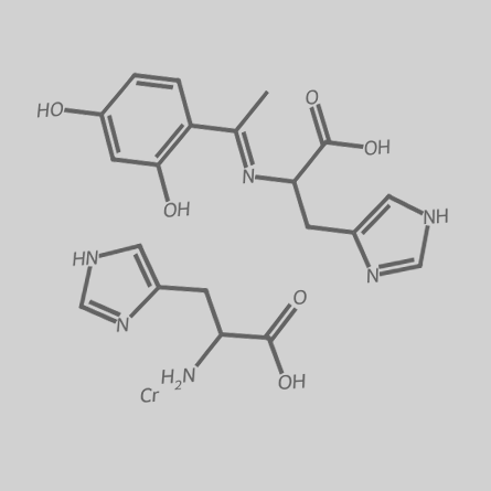 C/C(=N\C(Cc1c[nH]cn1)C(=O)O)c1ccc(O)cc1O.NC(Cc1c[nH]cn1)C(=O)O.[Cr]